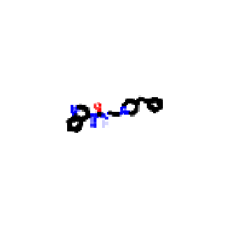 O=C(NCCN1CCC(Cc2ccccc2)CC1)Nc1ccnc2ccccc12